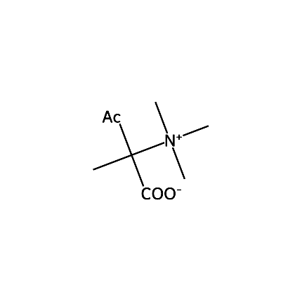 CC(=O)C(C)(C(=O)[O-])[N+](C)(C)C